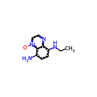 CCNc1ccc(N)c2c1ncc[n+]2[O-]